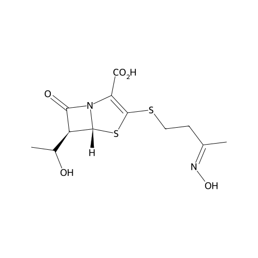 CC(CCSC1=C(C(=O)O)N2C(=O)[C@H](C(C)O)[C@H]2S1)=NO